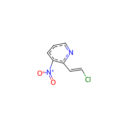 O=[N+]([O-])c1cccnc1C=CCl